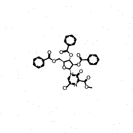 COC(=O)c1nc(Cl)cn([C@@H]2O[C@@H](COC(=O)c3ccccc3)[C@H](OC(=O)c3ccccc3)[C@H]2OC(=O)c2ccccc2)c1=O